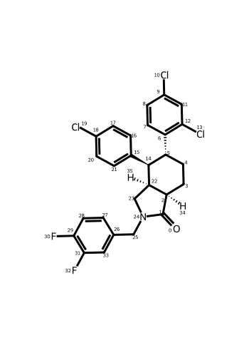 O=C1[C@@H]2CC[C@@H](c3ccc(Cl)cc3Cl)[C@H](c3ccc(Cl)cc3)[C@@H]2CN1Cc1ccc(F)c(F)c1